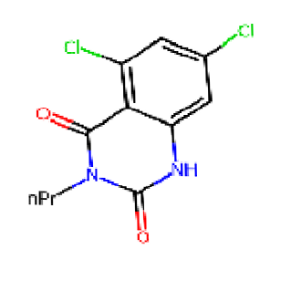 CCCn1c(=O)[nH]c2cc(Cl)cc(Cl)c2c1=O